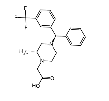 C[C@@H]1CN([C@H](c2ccccc2)c2cccc(C(F)(F)F)c2)CCN1CC(=O)O